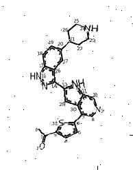 CC(=O)c1ccc(-c2cncc3[nH]c(-c4n[nH]c5ccc(C6CCNCC6)cc45)cc23)s1